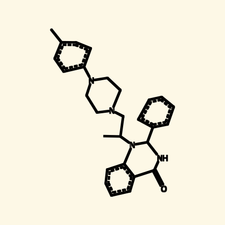 Cc1ccc(N2CCN(CC(C)N3c4ccccc4C(=O)NC3c3ccccc3)CC2)cc1